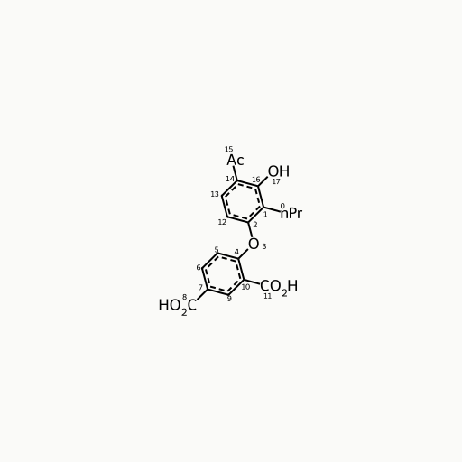 CCCc1c(Oc2ccc(C(=O)O)cc2C(=O)O)ccc(C(C)=O)c1O